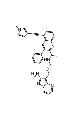 CC(NCOCc1c(N)nn2cccnc12)c1nc2cccc(C#Cc3cnn(C)c3)c2cc1-c1ccccc1